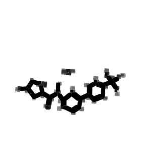 CN(C(=O)C1CC(F)CN1)c1nccc(-c2ccc(C(F)(F)F)nc2)n1.Cl